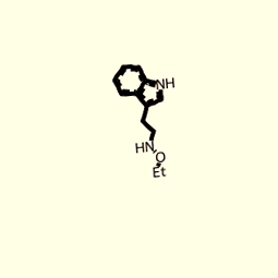 CCONCCc1c[nH]c2ccccc12